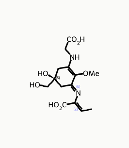 C/C=C(\N=C1/C[C@](O)(CO)CC(NCC(=O)O)=C1OC)C(=O)O